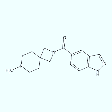 CN1CCC2(CC1)CN(C(=O)c1ccc3[nH]ncc3c1)C2